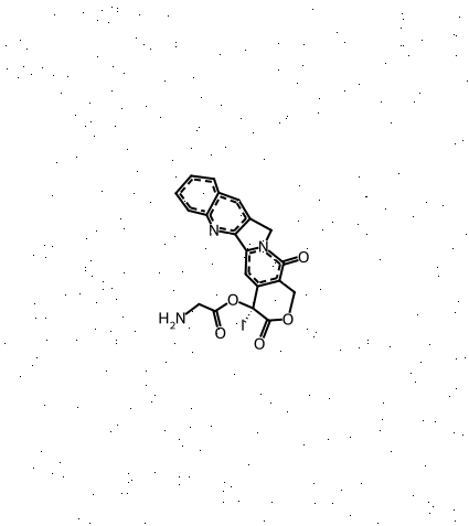 NCC(=O)O[C@]1(I)C(=O)OCc2c1cc1n(c2=O)Cc2cc3ccccc3nc2-1